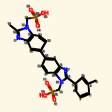 Cc1cccc(-c2nc3cc(-c4ccc5c(c4)nc(C)n5CS(=O)(=O)O)ccc3n2CS(=O)(=O)O)c1